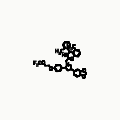 Cc1ccccc1C(NC(=O)CN1CC(c2ccc3c(c2)OCO3)CC1c1ccc(OCCOC(F)(F)F)cc1)c1ccccc1C